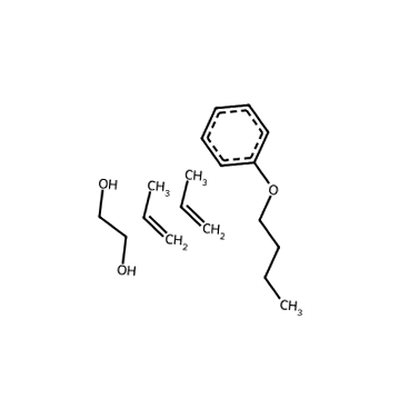 C=CC.C=CC.CCCCOc1ccccc1.OCCO